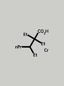 CCCC(CC)C(CC)(CC)C(=O)O.[Cr]